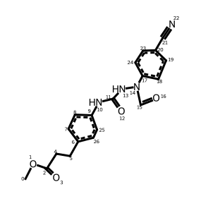 COC(=O)CCc1ccc(NC(=O)NN(C=O)c2ccc(C#N)cc2)cc1